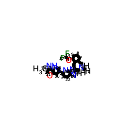 [2H]C([2H])([2H])N1C=c2cccc(OC(F)F)c2=C2C[C@@H]1c1nc3ccc(-c4cnc5c(c4)OCC5(C)N)nc3n12